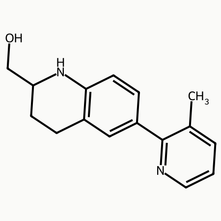 Cc1cccnc1-c1ccc2c(c1)CCC(CO)N2